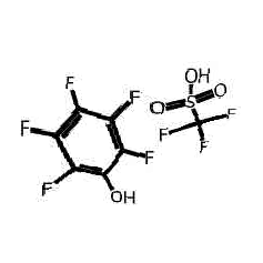 O=S(=O)(O)C(F)(F)F.Oc1c(F)c(F)c(F)c(F)c1F